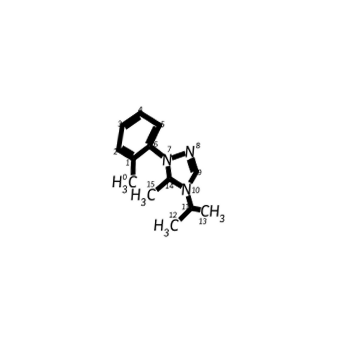 Cc1ccccc1N1N=CN(C(C)C)C1C